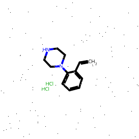 C=Cc1ccccc1N1CCNCC1.Cl.Cl